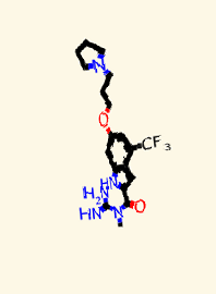 CN(C(=N)N)C(=O)c1cc2c(C(F)(F)F)cc(OCCCN3CCCC3)cc2[nH]1